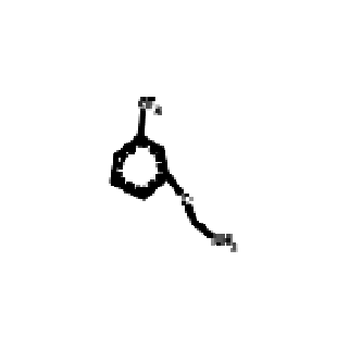 NC[CH]c1cccc(C(F)(F)F)c1